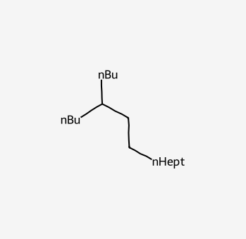 [CH2]CCCCCCCCC(CCCC)CCCC